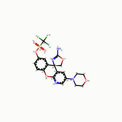 NC1=N[C@@]2(CO1)c1cc(OS(=O)(=O)C(F)(F)F)ccc1Oc1ncc(N3CCOCC3)cc12